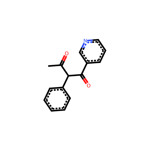 CC(=O)C(C(=O)c1cccnc1)c1ccccc1